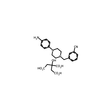 N#Cc1cccc(CN2CCN(c3ccc(N)cc3)CC2)c1.O=C(O)CC(O)(CC(=O)O)C(=O)O